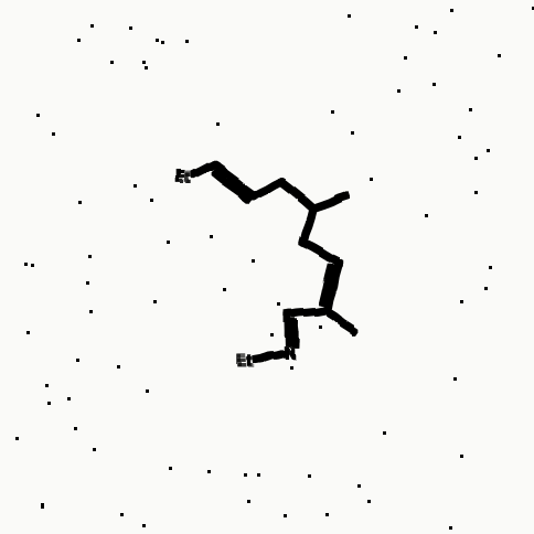 CC/C=C/CC(C)C/C=C(C)\C=N\CC